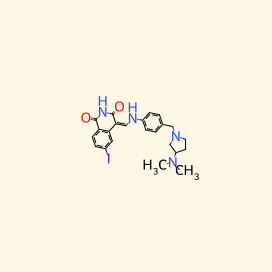 CN(C)C1CCN(Cc2ccc(NC=C3C(=O)NC(=O)c4ccc(I)cc43)cc2)C1